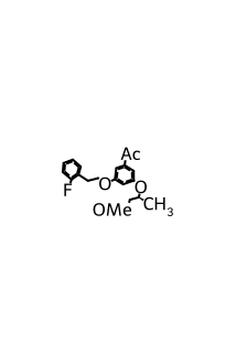 COC[C@H](C)Oc1cc(OCCc2ccccc2F)cc(C(C)=O)c1